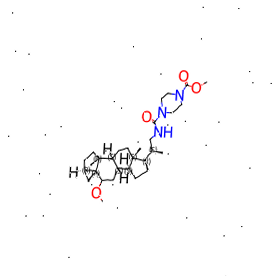 COC(=O)N1CCN(C(=O)NC[C@@H](C)[C@H]2CC[C@H]3[C@@H]4CC(OC)[C@]56C[C@H]5CC[C@]6(C)[C@H]4CC[C@]23C)CC1